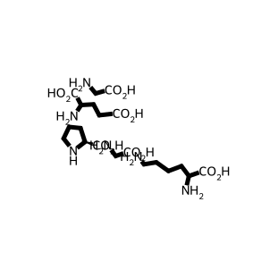 NC(CCC(=O)O)C(=O)O.NCC(=O)O.NCC(=O)O.NCCCCC(N)C(=O)O.O=C(O)[C@@H]1CCCN1